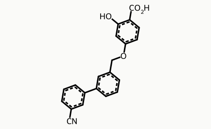 N#Cc1cccc(-c2cccc(COc3ccc(C(=O)O)c(O)c3)c2)c1